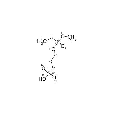 CCP(=O)(OC)OCCCS(=O)(=O)O